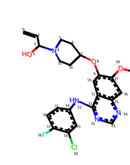 C=CC(O)N1CCC(Oc2cc3c(Nc4ccc(F)c(Cl)c4)ncnc3cc2OC)CC1